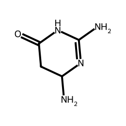 NC1=NC(N)CC(=O)N1